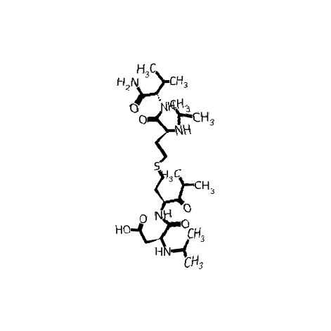 CC(C)N[C@@H](CC(=O)O)C(=O)N[C@@H](CCSCC[C@H](NC(C)C)C(=O)N[C@H](C(N)=O)C(C)C)C(=O)C(C)C